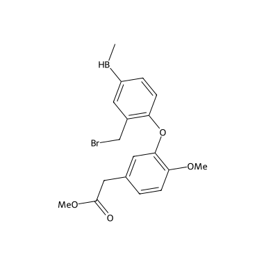 CBc1ccc(Oc2cc(CC(=O)OC)ccc2OC)c(CBr)c1